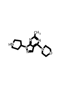 Cc1nc(N2CCOCC2)c2cnn(C3CCNCC3)c2n1